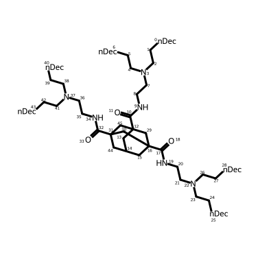 CCCCCCCCCCCCN(CCCCCCCCCCCC)CCNC(=O)C12CC3CC(C(=O)NCCN(CCCCCCCCCCCC)CCCCCCCCCCCC)(C1)CC(C(=O)NCCN(CCCCCCCCCCCC)CCCCCCCCCCCC)(C3)C2